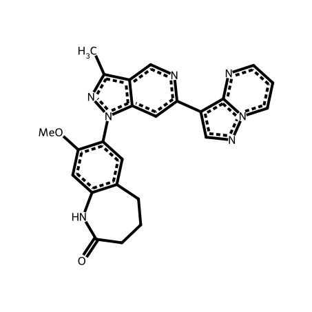 COc1cc2c(cc1-n1nc(C)c3cnc(-c4cnn5cccnc45)cc31)CCCC(=O)N2